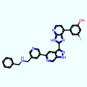 Oc1cc(F)cc(-c2ccnc3[nH]c(-c4n[nH]c5cnc(-c6cncc(CNCc7ccccc7)c6)cc45)nc23)c1